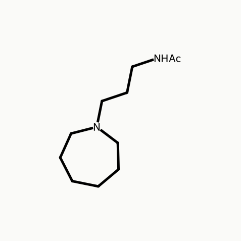 CC(=O)NCCCN1CCCCCC1